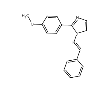 COc1ccc(-c2nccn2/N=C/c2ccccc2)cc1